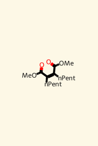 CCCCC/C(C(=O)OC)=C(\CCCCC)C(=O)OC